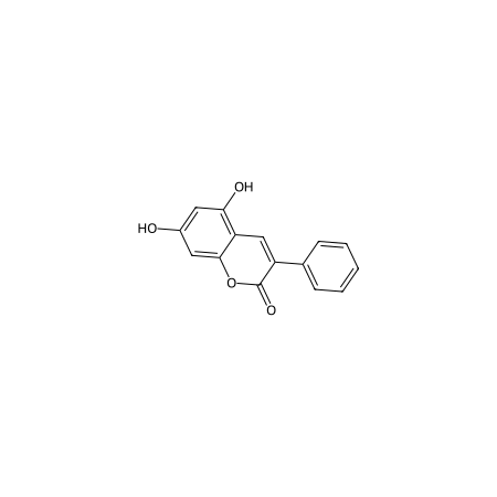 O=c1oc2cc(O)cc(O)c2cc1-c1ccccc1